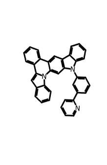 c1ccc(-c2cccc(-n3c4ccccc4c4cc5c6ccccc6c6cc7ccccc7n6c5cc43)c2)nc1